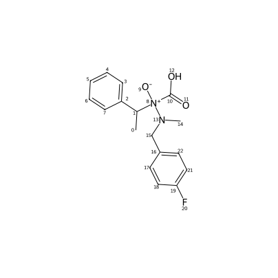 CC(c1ccccc1)[N+]([O-])(C(=O)O)N(C)Cc1ccc(F)cc1